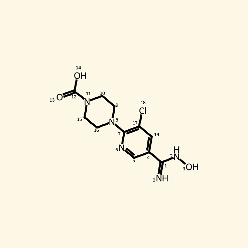 N=C(NO)c1cnc(N2CCN(C(=O)O)CC2)c(Cl)c1